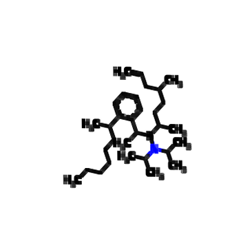 C=CCC(C)CCC(C)B(C(C)c1ccccc1C(C)CCCCCC)N(C(C)C)C(C)C